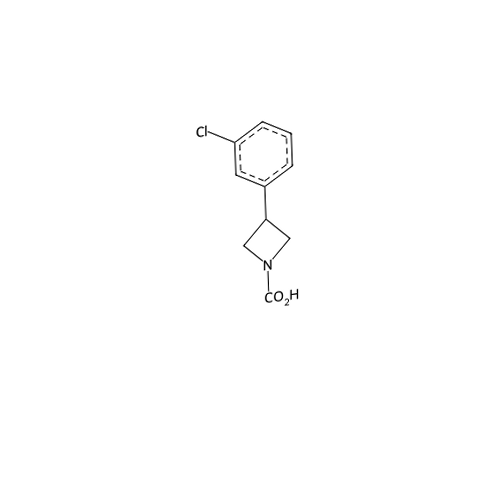 O=C(O)N1CC(c2cccc(Cl)c2)C1